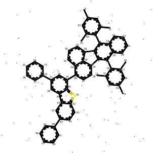 Cc1cc(C)c(-c2c3c(c(-c4c(C)cc(C)cc4C)c4ccccc24)-c2ccc(-c4cc(-c5ccccc5)cc5c4sc4ccc(-c6ccccc6)cc45)c4cccc-3c24)c(C)c1